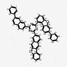 c1ccc(-c2ccc3ccc(-c4nc(-c5ccc6cc7c(cc6c5)oc5ccccc57)nc(-c5cccc6oc7cc(-c8ccccc8)ccc7c56)n4)cc3c2)cc1